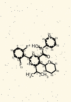 CC(C)c1nc(-c2c(F)cccc2F)nc(C(=O)N(O)c2cccnc2)c1C1CCCCO1